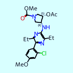 CCc1nc(-c2ccc(OC)cc2Cl)c(CC)nc1N[C@@H]1CN(C(=O)OC)C[C@@H]1OC(C)=O